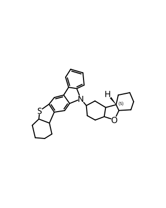 c1ccc2c(c1)c1cc3c(cc1n2C1CCC2OC4CCCC[C@H]4C2C1)C1CCCCC1S3